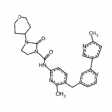 Cc1ccc(-c2cc(Cc3ccc(NC(=O)N4CCN(C5CCOCC5)C4=O)nc3C)ccn2)cn1